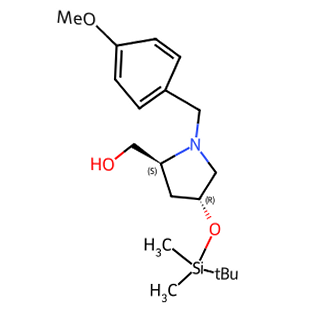 COc1ccc(CN2C[C@H](O[Si](C)(C)C(C)(C)C)C[C@H]2CO)cc1